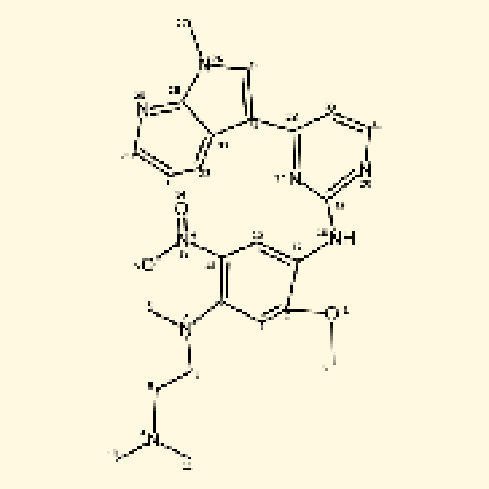 COc1cc(N(C)CCN(C)C)c([N+](=O)[O-])cc1Nc1nccc(-c2cn(C)c3ncccc23)n1